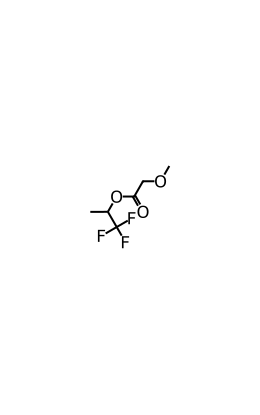 COCC(=O)OC(C)C(F)(F)F